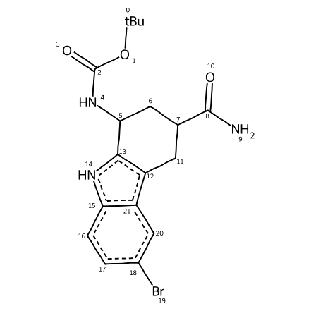 CC(C)(C)OC(=O)NC1CC(C(N)=O)Cc2c1[nH]c1ccc(Br)cc21